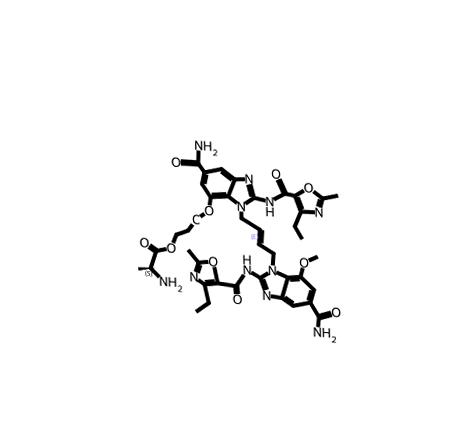 CCc1nc(C)oc1C(=O)Nc1nc2cc(C(N)=O)cc(OC)c2n1C/C=C/Cn1c(NC(=O)c2oc(C)nc2CC)nc2cc(C(N)=O)cc(OCCCOC(=O)[C@H](C)N)c21